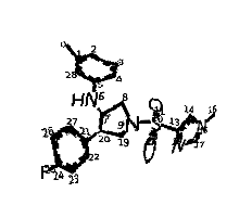 Cc1cccc(N[C@@H]2CN(S(=O)(=O)c3cn(C)cn3)C[C@H]2c2ccc(F)cc2)c1